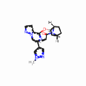 C=CC(=O)N1[C@@H]2CC[C@H]1[C@@H](Oc1nc(-c3cnn(C)c3)cn3nccc13)C2